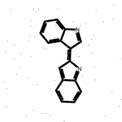 C1=Nc2ccccc2C1=C1C=c2ccccc2=N1